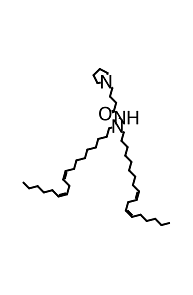 CCCCC/C=C\C/C=C\CCCCCCCCN(CCCCCCCC/C=C\C/C=C\CCCCC)NC(=O)CCCN1CCCC1